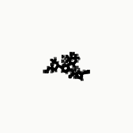 BC1=C(c2nc(C3CC(C)(C)OC(C)(CO)C3)ccc2NC(=O)c2nc(C#N)c[nH]2)C(B)(B)C(B)C(C)(C)C1